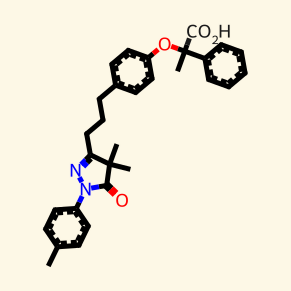 Cc1ccc(N2N=C(CCCc3ccc(OC(C)(C(=O)O)c4ccccc4)cc3)C(C)(C)C2=O)cc1